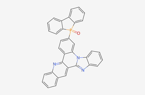 O=P1(c2ccc3c4nc5ccccc5cc4c4nc5ccccc5n4c3c2)c2ccccc2-c2ccccc21